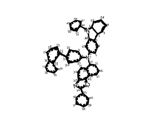 C1=CC2c3ccc(N(c4ccc(-c5cccc6ccccc56)cc4)c4cccc5c4ccc4nc(-c6ccccc6)oc45)cc3N(c3ccccc3)C2C=C1